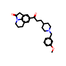 COc1cccc(CN2CCC(CCC(=O)c3cc4c5c(c3)CC(=O)N5CCC4)CC2)c1